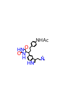 CC(=O)Nc1ccc(CCC(c2ccc3[nH]cc(CCN(C)C)c3c2)C2NC(=O)NC2=O)cc1